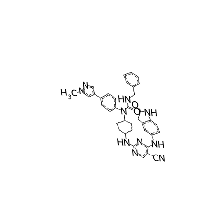 Cn1cc(-c2ccc(N(C(=O)NCc3ccccc3)C3CCC(Nc4ncc(C#N)c(Nc5ccc6c(c5)CC(=O)N6)n4)CC3)cc2)cn1